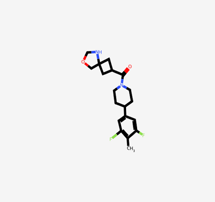 Cc1c(F)cc(C2CCN(C(=O)C3CC4(COCN4)C3)CC2)cc1F